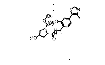 COc1cc(-c2scnc2C)ccc1[C@H](C)NC(=O)[C@@H]1C[C@@H](O)CN1C(=O)OC(C)(C)C